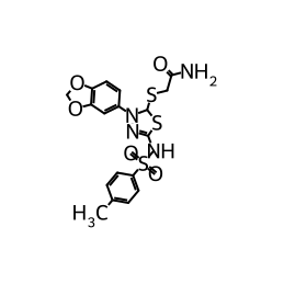 Cc1ccc(S(=O)(=O)NC2=NN(c3ccc4c(c3)OCO4)C(SCC(N)=O)S2)cc1